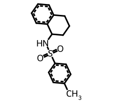 Cc1ccc(S(=O)(=O)NC2CCCc3ccccc32)cc1